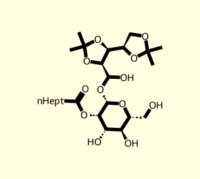 CCCCCCCC(=O)O[C@@H]1[C@H](OC(O)[C@H]2OC(C)(C)O[C@H]2[C@H]2COC(C)(C)O2)O[C@H](CO)[C@@H](O)[C@@H]1O